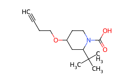 C#CCCOC1CCN(C(=O)O)C(C(C)(C)C)C1